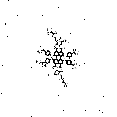 C=C(Cl)C(=O)OCCOC(=O)C(CC(C)C)N1C(=O)c2cc(Oc3ccc(C(C)C)cc3)c3c4c(Oc5ccc(C(C)C)cc5)cc5c6c(cc(Oc7ccc(C(C)C)cc7)c(c7c(Oc8ccc(C(C)C)cc8)cc(c2c37)C1=O)c64)C(=O)N(C(CC(C)C)C(=O)OCCOC(=O)C(=C)Cl)C5=O